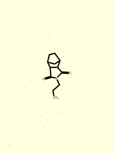 CCCN1C(=O)C2C3CCC(C3)C2C1=O